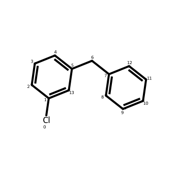 Clc1cccc(Cc2c[c]ccc2)c1